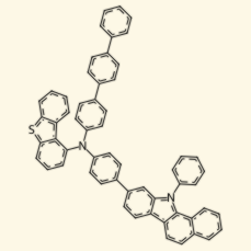 c1ccc(-c2ccc(-c3ccc(N(c4ccc(-c5ccc6c7ccc8ccccc8c7n(-c7ccccc7)c6c5)cc4)c4cccc5sc6ccccc6c45)cc3)cc2)cc1